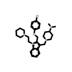 CN(C)C1CCN(Cc2c(COc3ccc(Cl)cc3)n(CCN3CCCCC3)c3ccccc23)CC1